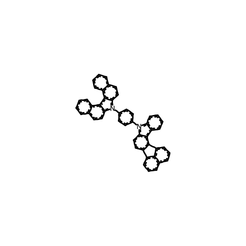 c1cc2c3c(cccc3c1)-c1c-2ccc2c1c1ccccc1n2-c1ccc(-n2c3ccc4ccccc4c3c3c4ccccc4ccc32)cc1